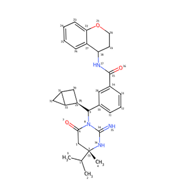 CC(C)[C@]1(C)CC(=O)N(C(c2cccc(C(=O)NC3CCOc4ccccc43)c2)[C@@H]2CC3CC32)C(=N)N1